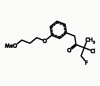 COCCCOc1cccc(CC(=O)C(C)(Cl)CF)c1